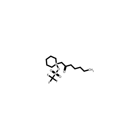 CCCCCC(=O)CS1(OS(=O)(=O)C(F)(F)F)CCCCC1